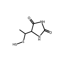 CC(SS)C1NC(=O)NC1=O